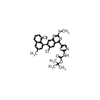 CSc1nc(-c2cnc(NC(=O)OC(C)(C)C)s2)c2cc(Cl)c(-c3cc(C)cc4cccc(Cl)c34)c(F)c2n1